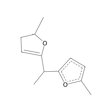 C[C]1CC=C(C(C)c2ccc(C)o2)O1